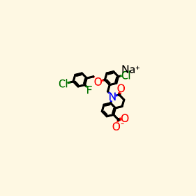 O=C([O-])c1cccc2c1CCC(=O)N2Cc1cc(Cl)ccc1OCc1ccc(Cl)cc1F.[Na+]